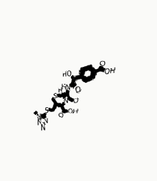 Cn1nnnc1SCC1=C(C(=O)O)N2C(=O)C(NC(=O)C(O)c3ccc(C(=O)O)cc3)[C@@H]2SC1